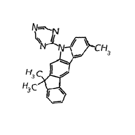 Cc1ccc2c(c1)c1cc3c(cc1n2-c1ncncn1)C(C)(C)c1ccccc1-3